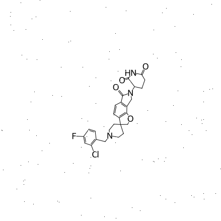 O=C1CCC(N2Cc3c(ccc4c3OCC43CCN(Cc4ccc(F)cc4Cl)CC3)C2=O)C(=O)N1